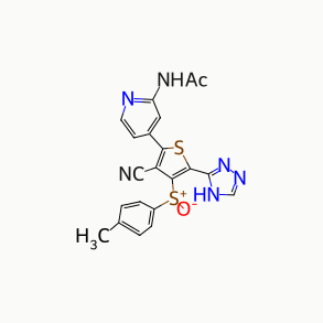 CC(=O)Nc1cc(-c2sc(-c3nnc[nH]3)c([S+]([O-])c3ccc(C)cc3)c2C#N)ccn1